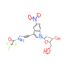 O=C(NCC#Cc1cn(C2CC(O)C(CO)O2)c2ccc([N+](=O)[O-])cc12)C(F)(F)F